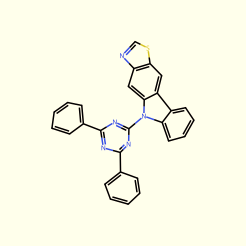 c1ccc(-c2nc(-c3ccccc3)nc(-n3c4ccccc4c4cc5scnc5cc43)n2)cc1